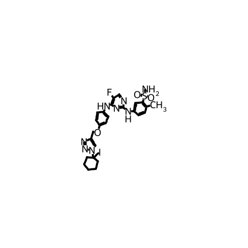 Cc1ccc(Nc2ncc(F)c(Nc3ccc(OCc4cn(C5(I)CCCCC5)nn4)cc3)n2)cc1S(N)(=O)=O